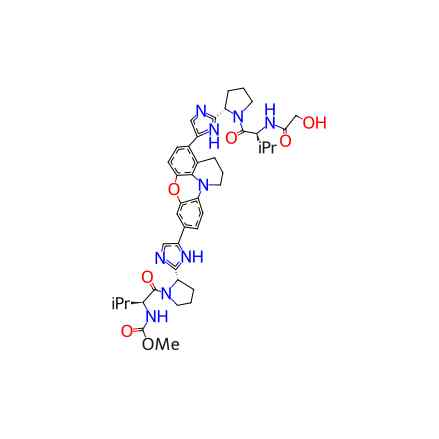 COC(=O)N[C@H](C(=O)N1CCC[C@H]1c1ncc(-c2ccc3c(c2)Oc2ccc(-c4cnc([C@@H]5CCCN5C(=O)[C@@H](NC(=O)CO)C(C)C)[nH]4)c4c2N3CCC4)[nH]1)C(C)C